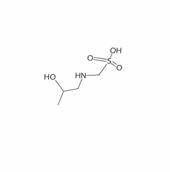 CC(O)CNCS(=O)(=O)O